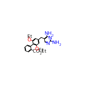 CCOC(=O)c1ccccc1-c1c(OCC)cc(Cc2cnc(N)nc2N)cc1OCC